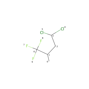 CC(CC(Cl)Cl)C(F)(F)F